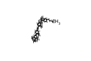 CCCCCc1ccc(C(F)(F)Oc2ccc(C#Cc3ccc(-c4cc(F)c(C(F)(F)F)c(F)c4)c(F)c3)c(F)c2)c(F)c1